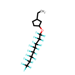 [CH2]CC1C[CH]C(OC(F)(F)C(F)(F)C(F)(F)C(F)(F)C(F)(F)C(F)(F)C(F)(F)C(F)(F)F)C1